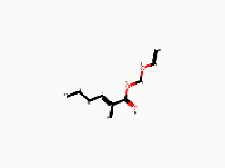 C=COCOC(=O)C(C)=CCCC